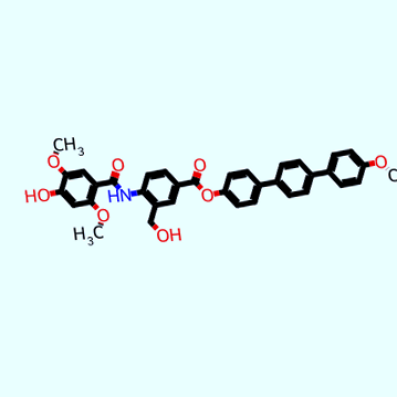 COc1ccc(-c2ccc(-c3ccc(OC(=O)c4ccc(NC(=O)c5cc(OC)c(O)cc5OC)c(CO)c4)cc3)cc2)cc1